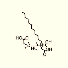 CCCCCCCCCCCC[N+](CC(=O)O)(C(C)O)C(C)O.C[N+](C)(C)CC(=O)O